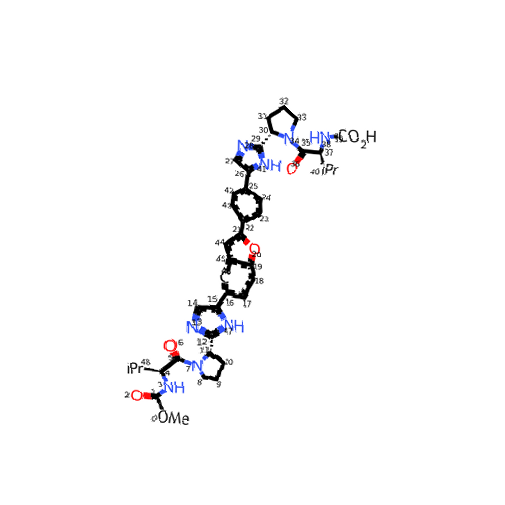 COC(=O)N[C@H](C(=O)N1CCC[C@H]1c1ncc(-c2ccc3oc(-c4ccc(-c5cnc([C@@H]6CCCN6C(=O)[C@@H](NC(=O)O)C(C)C)[nH]5)cc4)cc3c2)[nH]1)C(C)C